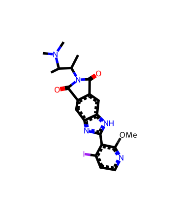 COc1nccc(I)c1-c1nc2cc3c(cc2[nH]1)C(=O)N(C(C)C(C)N(C)C)C3=O